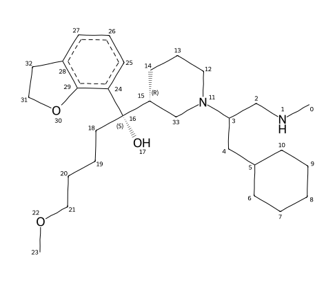 CNCC(CC1CCCCC1)N1CCC[C@@H]([C@@](O)(CCCCOC)c2cccc3c2OCC3)C1